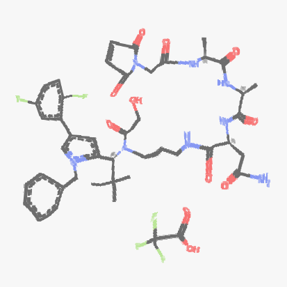 C[C@H](NC(=O)CN1C(=O)C=CC1=O)C(=O)N[C@@H](C)C(=O)N[C@@H](CC(N)=O)C(=O)NCCCN(C(=O)CO)[C@@H](c1cc(-c2cc(F)ccc2F)cn1Cc1ccccc1)C(C)(C)C.O=C(O)C(F)(F)F